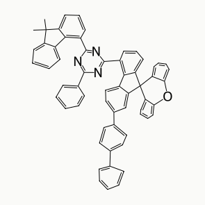 CC1(C)c2ccccc2-c2c(-c3nc(-c4ccccc4)nc(-c4cccc5c4-c4ccc(-c6ccc(-c7ccccc7)cc6)cc4C54c5ccccc5Oc5ccccc54)n3)cccc21